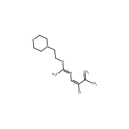 C=C(C)/C(Cl)=C\N=C(/C)OCCN1CCOCC1